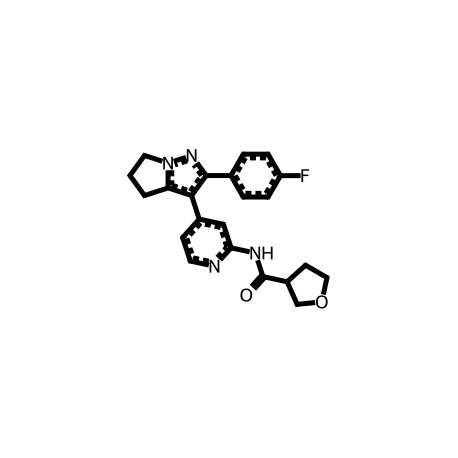 O=C(Nc1cc(-c2c(-c3ccc(F)cc3)nn3c2CCC3)ccn1)C1CCOC1